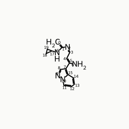 C=C(/N=C\C=C(/N)c1cnn2ccccc12)NC1CC1